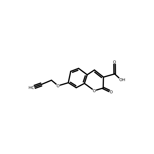 C#CCOc1ccc2cc(C(=O)O)c(=O)oc2c1